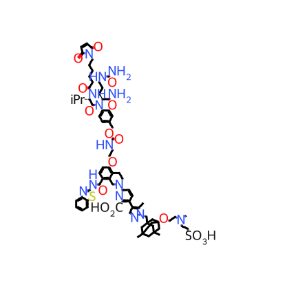 Cc1c(-c2ccc(N3CCc4c(OCCNC(=O)OCc5ccc(N(C(=O)[C@@H](NC(=O)CCCCCN6C(=O)C=CC6=O)C(C)C)[C@@H](CCCNC(N)=O)C(N)=O)cc5)ccc(C(=O)Nc5nc6ccccc6s5)c4C3)nc2C(=O)O)cnn1CC12CC3(C)CC(C)(C1)CC(OCCN(C)CCS(=O)(=O)O)(C3)C2